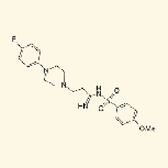 COc1ccc(S(=O)(=O)NC(=N)CCN2CCN(c3ccc(F)cc3)CC2)cc1